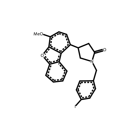 COc1ccc(C2CC(=O)N(Cc3ccc(I)cc3)C2)c2c1oc1ccccc12